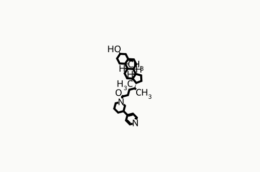 CC(CCC(=O)N1CCCC(c2ccncc2)C1)[C@H]1CC[C@H]2[C@@H]3CC=C4C[C@@H](O)CC[C@]4(C)[C@H]3CC[C@]12C